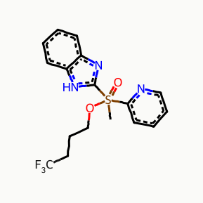 CS(=O)(OCCCC(F)(F)F)(c1ccccn1)c1nc2ccccc2[nH]1